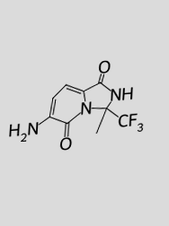 CC1(C(F)(F)F)NC(=O)c2ccc(N)c(=O)n21